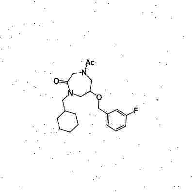 CC(=O)N1CC(=O)N(CC2CCCCC2)CC(OCc2cccc(F)c2)C1